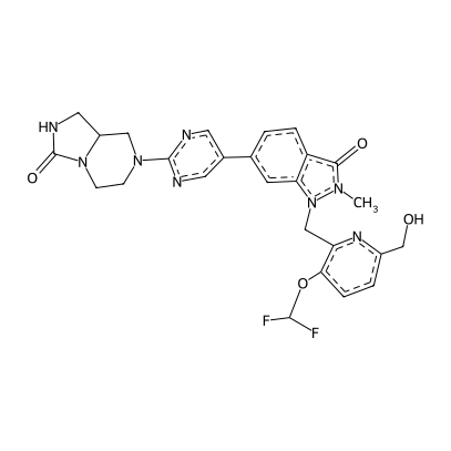 Cn1c(=O)c2ccc(-c3cnc(N4CCN5C(=O)NCC5C4)nc3)cc2n1Cc1nc(CO)ccc1OC(F)F